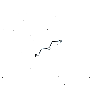 CCCOC[N]